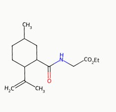 C=C(C)C1CCC(C)CC1C(=O)NCC(=O)OCC